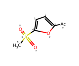 CC(=O)c1ccc(S(C)(=O)=O)o1